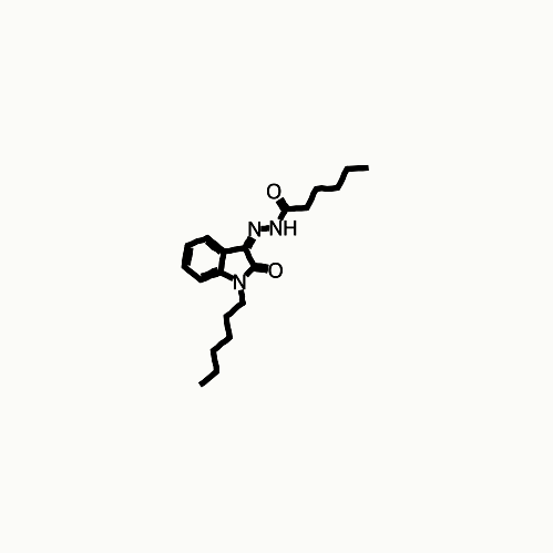 CCCCCCN1C(=O)C(=NNC(=O)CCCCC)c2ccccc21